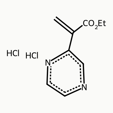 C=C(C(=O)OCC)c1cnccn1.Cl.Cl